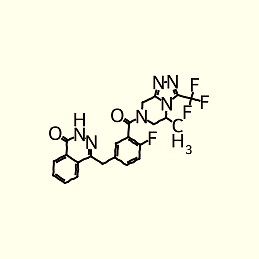 CC1CN(C(=O)c2cc(Cc3n[nH]c(=O)c4ccccc34)ccc2F)Cc2nnc(C(F)(F)F)n21